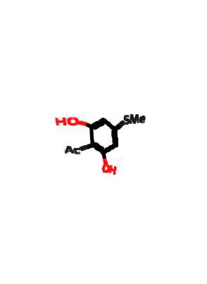 CSc1cc(O)c(C(C)=O)c(O)c1